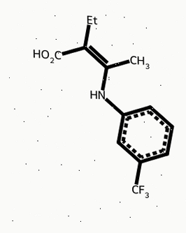 CC/C(C(=O)O)=C(\C)Nc1cccc(C(F)(F)F)c1